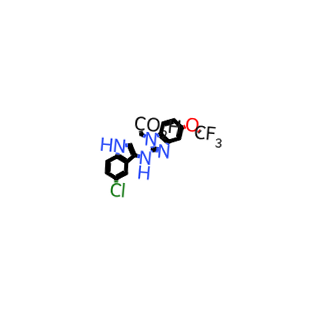 O=C(O)Cn1c(Nc2c[nH]c3ccc(Cl)cc23)nc2cc(OC(F)(F)F)ccc21